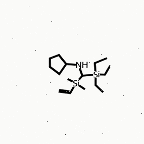 C=C[Si](C)(C)C(NC1CCCC1)[Si](CC)(CC)CC